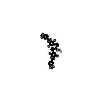 CN(C1CCN1C1=CC(=O)c2nc(-c3ccc4c(c3)OCO4)sc2C1=O)C1CCN1C1=CC(=O)c2nc(-c3ccc4c(c3)OCO4)sc2C1=O